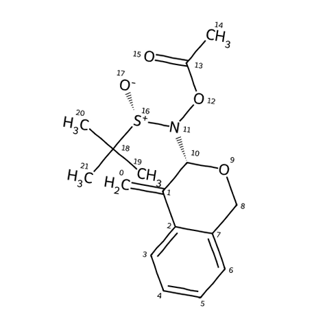 C=C1c2ccccc2CO[C@H]1N(OC(C)=O)[S@@+]([O-])C(C)(C)C